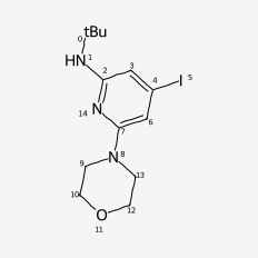 CC(C)(C)Nc1cc(I)cc(N2CCOCC2)n1